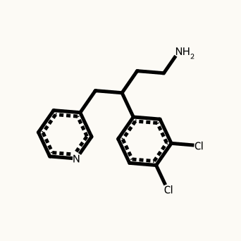 NCCC(Cc1cccnc1)c1ccc(Cl)c(Cl)c1